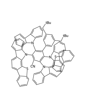 CC(C)(C)Cc1cc(CC(C)(C)C)cc(-c2c(-n3c4ccccc4c4ccccc43)c(-n3c4ccccc4c4ccc5c6ccccc6sc5c43)c(C#N)c(-n3c4ccccc4c4ccc5c6ccccc6sc5c43)c2-n2c3ccccc3c3ccccc32)c1